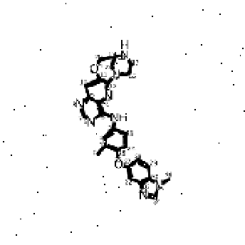 Cc1cc(Nc2ncnc3cc4c(nc23)N2CCNC(CO4)C2)ccc1Oc1ccc2c(c1)ncn2C